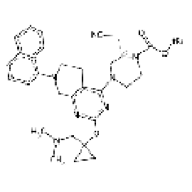 CN(C)CC1(Oc2nc3c(c(N4CCN(C(=O)OC(C)(C)C)[C@@H](CC#N)C4)n2)CCN(c2cccc4ccccc24)C3)CC1